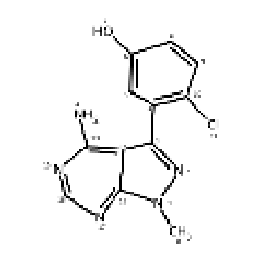 Cn1nc(-c2cc(O)ccc2Cl)c2c(N)ncnc21